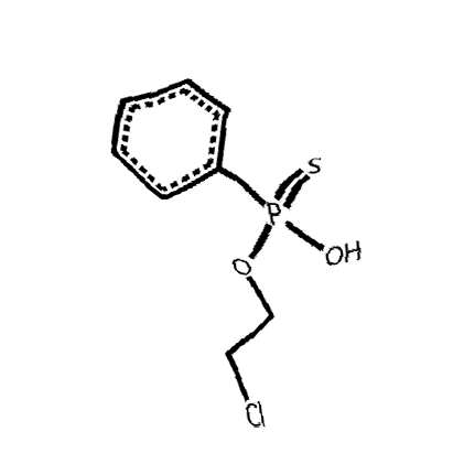 OP(=S)(OCCCl)c1ccccc1